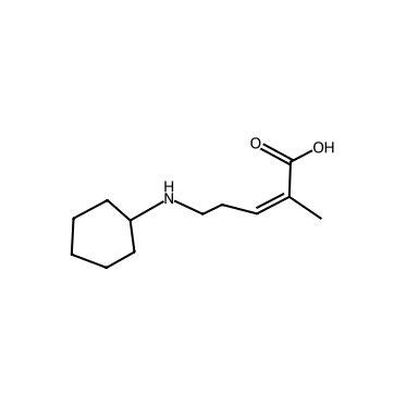 CC(=CCCNC1CCCCC1)C(=O)O